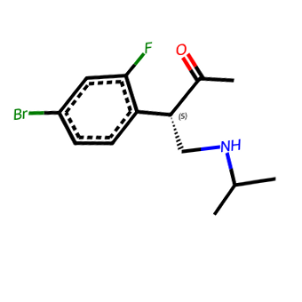 CC(=O)[C@H](CNC(C)C)c1ccc(Br)cc1F